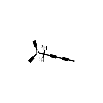 [3H]C([3H])(C#CC#CC)P(C#C)C#C